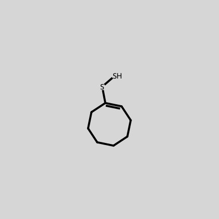 SSC1=CCCCCCC1